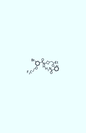 CCC(CC1CC(NC(=O)c2cc(Br)cc(OCCC(F)(F)F)c2)C1)Oc1ncccc1C(N)=O